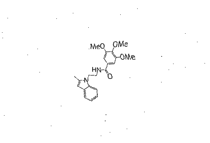 COc1cc(C(=O)NCCn2c(C)cc3ccccc32)cc(OC)c1OC